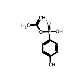 C=C(C)OP(=O)(O)c1ccc(C)cc1